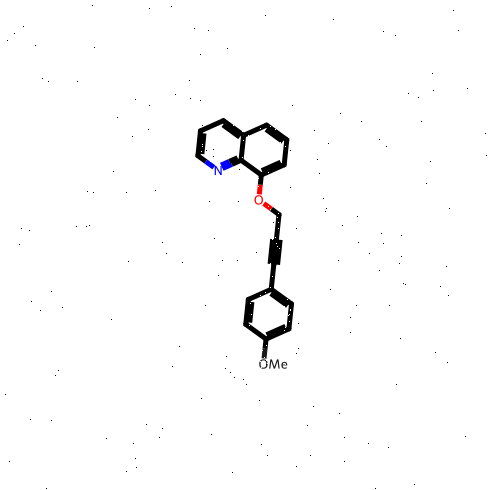 COc1ccc(C#CCOc2cccc3cccnc23)cc1